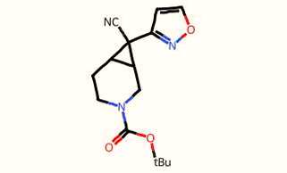 CC(C)(C)OC(=O)N1CCC2C(C1)C2(C#N)c1ccon1